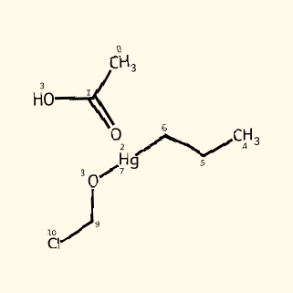 CC(=O)O.CC[CH2][Hg][O]CCl